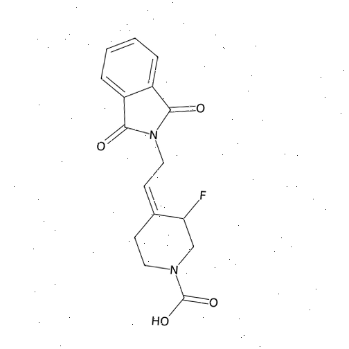 O=C(O)N1CCC(=CCN2C(=O)c3ccccc3C2=O)C(F)C1